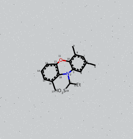 CCC(N1c2cc(C)cc(C)c2Oc2cccc(C)c21)S(=O)(=O)O